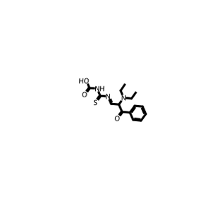 CCN(CC)C(C=NC(=S)NC(=O)O)C(=O)c1ccccc1